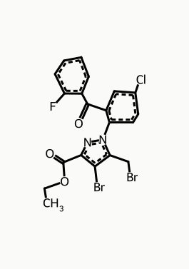 CCOC(=O)c1nn(-c2ccc(Cl)cc2C(=O)c2ccccc2F)c(CBr)c1Br